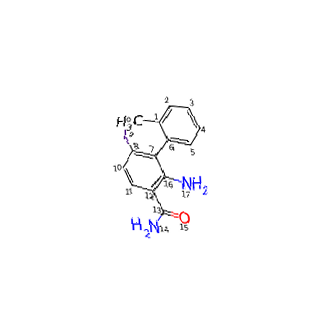 Cc1ccccc1-c1c(I)ccc(C(N)=O)c1N